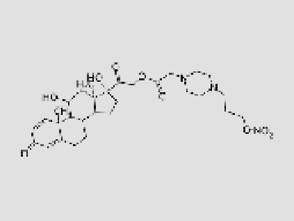 CC12C=CC(=O)C=C1CCC1C2C(O)CC2(C)C1CC[C@]2(O)C(=O)COC(=O)CN1CCN(CCCO[N+](=O)[O-])CC1